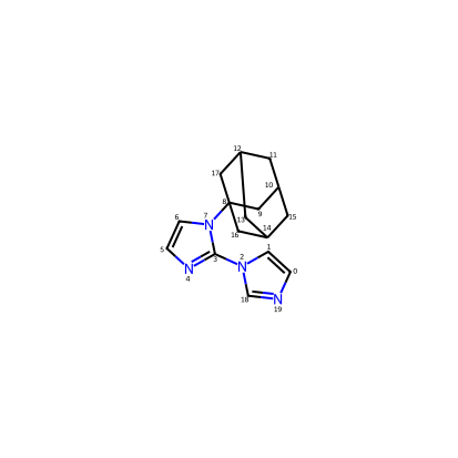 c1cn(-c2nccn2C23CC4CC(CC(C4)C2)C3)cn1